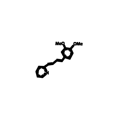 COc1ccc(C=CC=Cc2ccccn2)cc1OC